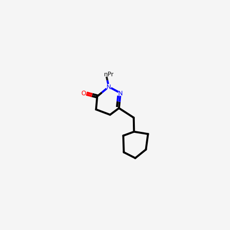 CCCN1N=C(CC2CCCCC2)CCC1=O